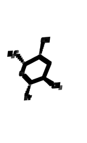 CC(C)[C@@H]1O[C@H](C)[C@H](O)C[C@H]1C